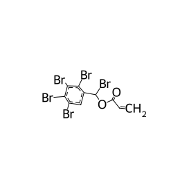 C=CC(=O)OC(Br)c1cc(Br)c(Br)c(Br)c1Br